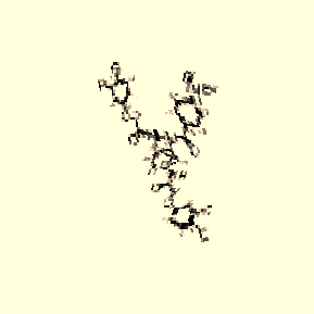 O=C(COc1ccc(Cl)c(F)c1)N[C@@]12CC[C@@](NC(=O)COc3ccc(Cl)c(F)c3)(C1)[C@@H](OC(=O)c1ccc([N+](=O)[O-])cc1)C2